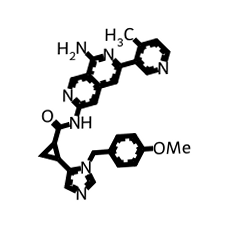 COc1ccc(Cn2cncc2C2CC2C(=O)Nc2cc3cc(-c4cnccc4C)nc(N)c3cn2)cc1